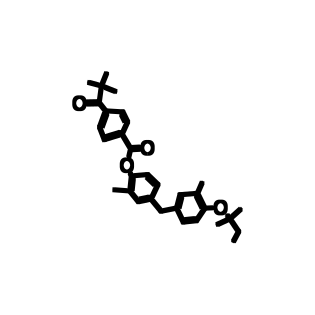 CCC(C)(C)Oc1ccc(Cc2ccc(OC(=O)c3ccc(C(=O)C(C)(C)C)cc3)c(C)c2)cc1C